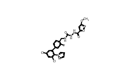 COc1cc(C(=O)NNC(=O)NCc2ccc(-c3cc(Cl)cc(Cl)c3-n3cccn3)cc2F)on1